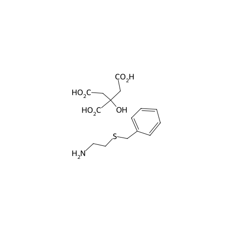 NCCSCc1ccccc1.O=C(O)CC(O)(CC(=O)O)C(=O)O